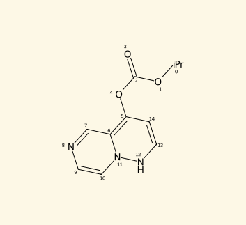 CC(C)OC(=O)OC1=C2C=NC=CN2NC=C1